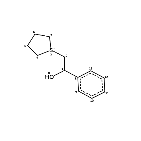 OC(C[S+]1CCCC1)c1ccccc1